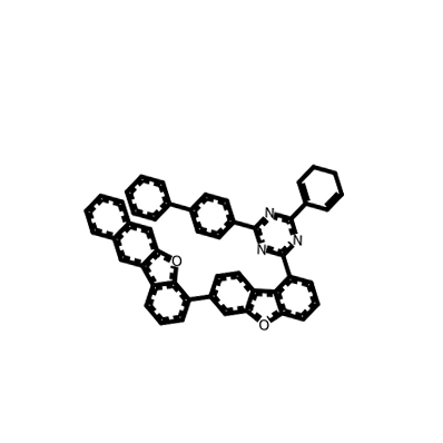 C1=CC(c2nc(-c3ccc(-c4ccccc4)cc3)nc(-c3cccc4oc5cc(-c6cccc7c6oc6cc8ccccc8cc67)ccc5c34)n2)=CCC1